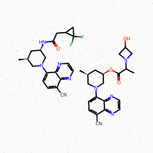 CC(C(=O)O[C@@H]1C[C@H](C)CN(c2ccc(C#N)c3nccnc23)C1)N1CC(O)C1.C[C@H]1C[C@@H](NC(=O)CC2CC2(F)F)CN(c2ccc(C#N)c3nccnc23)C1